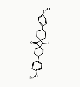 CCOc1ccc(C2CCC3(CC2)C(=O)C2(CCC(c4ccc(OCC)cc4)CC2)C3F)cc1